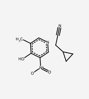 Cc1cncc([N+](=O)[O-])c1O.N#CCC1CC1